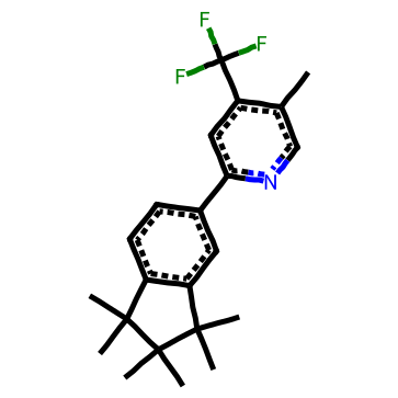 Cc1cnc(-c2ccc3c(c2)C(C)(C)C(C)(C)C3(C)C)cc1C(F)(F)F